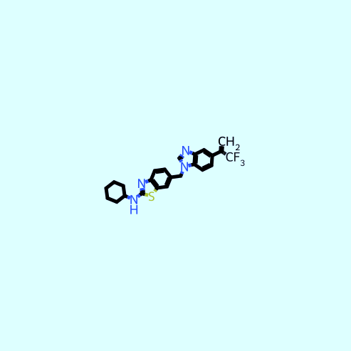 C=C(c1ccc2c(c1)ncn2Cc1ccc2nc(NC3CCCCC3)sc2c1)C(F)(F)F